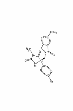 COc1ccc2c(c1)C(=O)N(C[C@@]1(c3ccc(Br)cc3)NC(=O)N(C)C1=O)C2